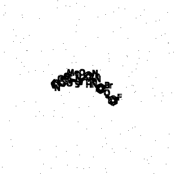 CCC(OC(Cc1ccccn1)=S(=O)=O)c1nc(-c2cc3c(Nc4ccc(OCc5cccc(F)c5)c(Br)c4)ncnc3cc2OC)cs1